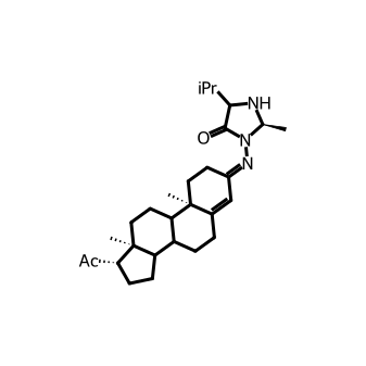 CC(=O)[C@H]1CCC2C3CCC4=C/C(=N/N5C(=O)C(C(C)C)N[C@H]5C)CC[C@]4(C)C3CC[C@@]21C